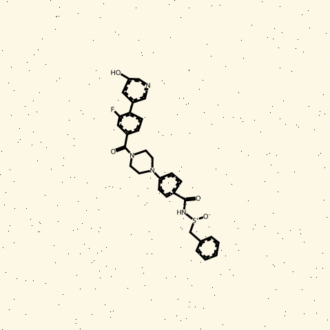 O=C(N[S+]([O-])Cc1ccccc1)c1ccc(N2CCN(C(=O)c3ccc(-c4cncc(O)c4)c(F)c3)CC2)cc1